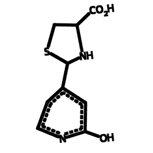 O=C(O)C1CSC(c2ccnc(O)c2)N1